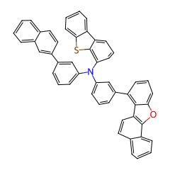 c1cc(-c2ccc3ccccc3c2)cc(N(c2cccc(-c3cccc4oc5c6ccccc6ccc5c34)c2)c2cccc3c2sc2ccccc23)c1